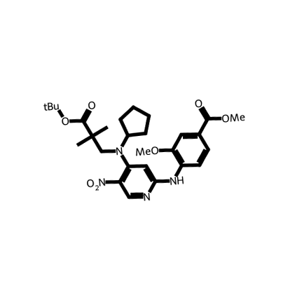 COC(=O)c1ccc(Nc2cc(N(CC(C)(C)C(=O)OC(C)(C)C)C3CCCC3)c([N+](=O)[O-])cn2)c(OC)c1